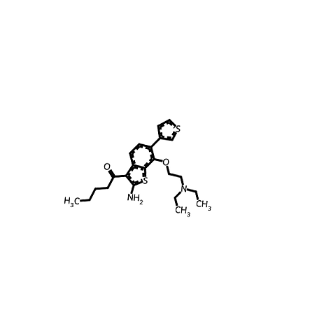 CCCCC(=O)c1c(N)sc2c(OCCN(CC)CC)c(-c3ccsc3)ccc12